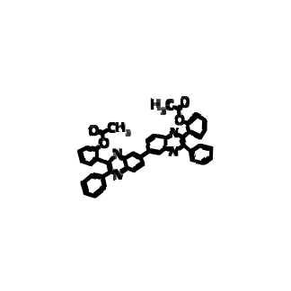 CC(=O)Oc1ccccc1-c1nc2ccc(-c3ccc4nc(-c5ccccc5)c(-c5ccccc5OC(C)=O)nc4c3)cc2nc1-c1ccccc1